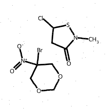 CN1SC(Cl)CC1=O.O=[N+]([O-])C1(Br)COCOC1